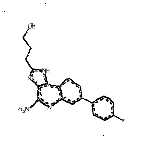 Nc1nc2cc(-c3ccc(F)cc3)ccc2c2[nH]c(CCCO)nc12